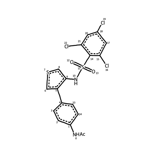 CC(=O)Nc1ccc(-c2cscc2NS(=O)(=O)c2c(Cl)cc(Cl)cc2Cl)cc1